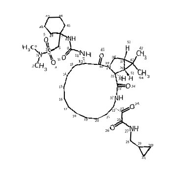 CN(C)S(=O)(=O)CC1(NC(=O)N[C@H]2CCCCCCCCC[C@@H](C(=O)C(=O)NCC3CC3)NC(=O)[C@@H]3[C@@H]4[C@H](CN3C2=O)C4(C)C)CCCCC1